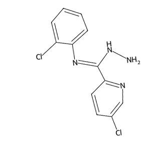 NN/C(=N\c1ccccc1Cl)c1ccc(Cl)cn1